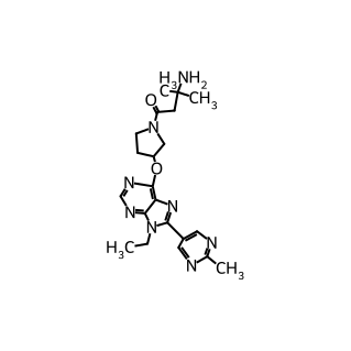 CCn1c(-c2cnc(C)nc2)nc2c(OC3CCN(C(=O)CC(C)(C)N)C3)ncnc21